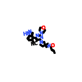 C/C=C/C(=O)N1CC2(CCN(c3nc(N4CCOCC4)nc(-c4c(C)ccc5[nH]ncc45)c3C#N)C2)C1